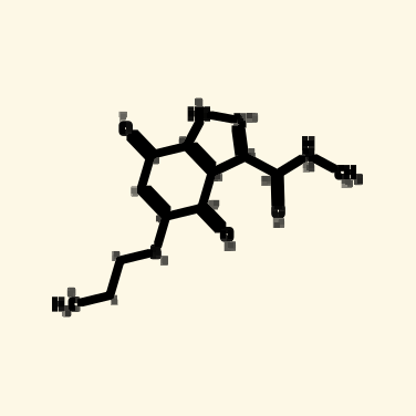 CCCSC1=CC(=O)c2[nH]nc(C(=O)NC)c2C1=O